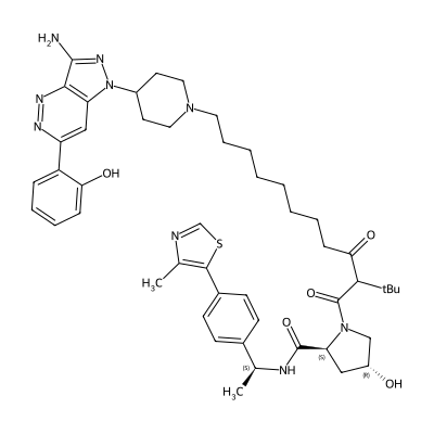 Cc1ncsc1-c1ccc([C@H](C)NC(=O)[C@@H]2C[C@@H](O)CN2C(=O)C(C(=O)CCCCCCCCN2CCC(n3nc(N)c4nnc(-c5ccccc5O)cc43)CC2)C(C)(C)C)cc1